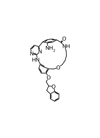 Nc1cc2ccc1-c1ccnc(n1)Nc1ccc(OCC3Cc4ccccc4O3)c(c1)COCCCCNC2=O